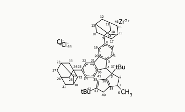 CC1CC(C2c3ccc(C45CC6CC(CC(C6)C4)C5)cc3-c3cc(C45CC6CC(CC(C6)C4)C5)ccc32)(C(C)(C)C)C2=C1CC(C(C)(C)C)=C2.[Cl-].[Cl-].[Zr+2]